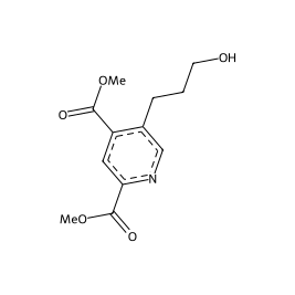 COC(=O)c1cc(C(=O)OC)c(CCCO)cn1